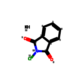 O=C1c2ccccc2C(=O)N1Cl.[KH]